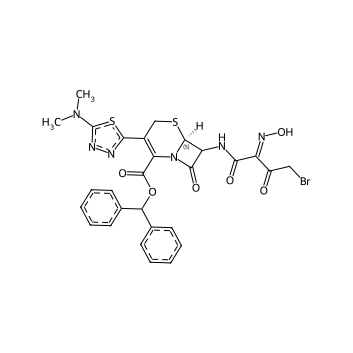 CN(C)c1nnc(C2=C(C(=O)OC(c3ccccc3)c3ccccc3)N3C(=O)C(NC(=O)C(=NO)C(=O)CBr)[C@@H]3SC2)s1